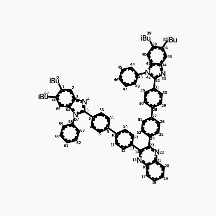 CCC(C)c1cc2nc(-c3ccc(-c4ccc(-c5nc6ccccc6nc5-c5ccc(-c6ccc(-c7nc8cc(C(C)CC)c(C(C)CC)cc8n7-c7ccccc7)cc6)cc5)cc4)cc3)n(-c3ccccc3)c2cc1C(C)CC